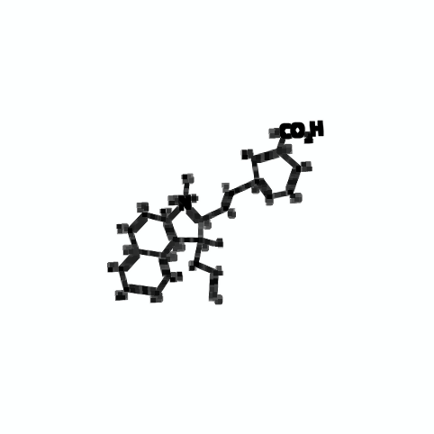 C=CCC1(C)C(/C=C/c2cccc(C(=O)O)c2)=[N+](C)c2ccc3ccccc3c21